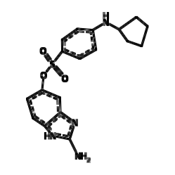 Nc1nc2cc(OS(=O)(=O)c3ccc(NC4CCCC4)cc3)ccc2[nH]1